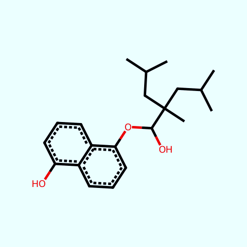 CC(C)CC(C)(CC(C)C)C(O)Oc1cccc2c(O)cccc12